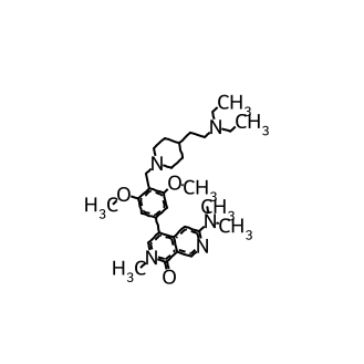 CCN(CC)CCC1CCN(Cc2c(OC)cc(-c3cn(C)c(=O)c4cnc(N(C)C)cc34)cc2OC)CC1